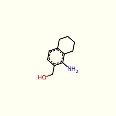 Nc1c(CO)ccc2c1CCCC2